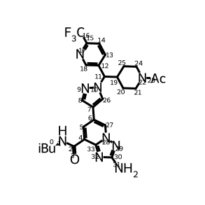 CC[C@H](C)NC(=O)c1cc(-c2cnn(C(c3ccc(C(F)(F)F)nc3)C3CCN(C(C)=O)CC3)c2)cn2nc(N)nc12